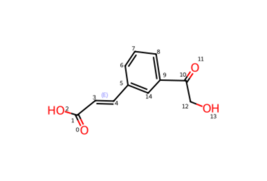 O=C(O)/C=C/c1cccc(C(=O)CO)c1